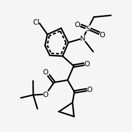 CCS(=O)(=O)N(C)c1cc(Cl)ccc1C(=O)C(C(=O)OC(C)(C)C)C(=O)C1CC1